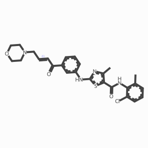 Cc1cccc(Cl)c1NC(=O)c1sc(Nc2cccc(C(=O)/C=C/CN3CCOCC3)c2)nc1C